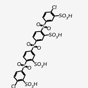 O=S(=O)(O)c1cc(S(=O)(=O)c2ccc(S(=O)(=O)c3ccc(S(=O)(=O)c4ccc(Cl)c(S(=O)(=O)O)c4)c(S(=O)(=O)O)c3)cc2S(=O)(=O)O)ccc1Cl